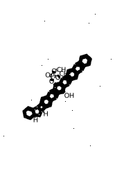 COP(=O)(OC)Oc1c2c(c(O)c3c1C1CC3c3cc4c(cc31)C1C3=CCCC[C@@H]3C[C@H]41)C1CC2c2cc3c(cc21)C1CC3C2=C1C=C=C=C2